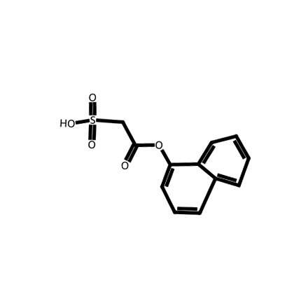 O=C(CS(=O)(=O)O)Oc1cccc2ccccc12